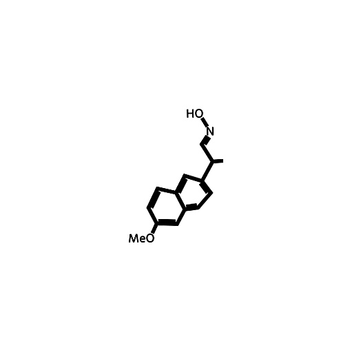 COc1ccc2cc(C(C)C=NO)ccc2c1